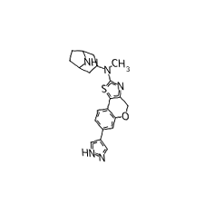 CN(c1nc2c(s1)-c1ccc(-c3cn[nH]c3)cc1OC2)C1CC2CCC(C1)N2